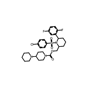 O=C(OCC1CCCC(c2cc(F)ccc2F)N1S(=O)(=O)c1ccc(Cl)cc1)N1CCC(N2CCCCC2)CC1